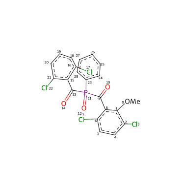 COc1c(Cl)ccc(Cl)c1C(=O)P(=O)(C(=O)c1c(Cl)cccc1Cl)c1ccccc1